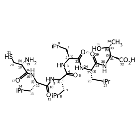 CC(C)C[C@H](NC(=O)[C@H](CC(C)C)NC(=O)[C@H](CC(C)C)NC(=O)[C@@H](N)CS)C(=O)N[C@@H](CC(C)C)C(=O)N[C@H](C(=O)O)[C@@H](C)O